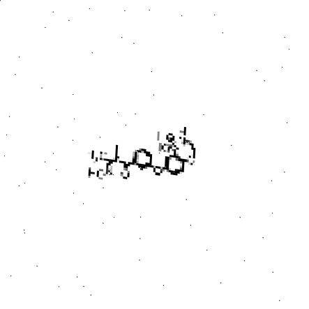 CC(=NO)NC(=O)c1cccc(Oc2ccc3c(c2)S(O)(O)NCCO3)c1